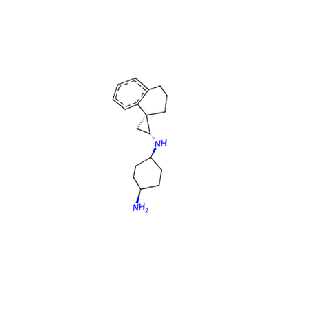 N[C@H]1CC[C@@H](N[C@@H]2C[C@]23CCCc2ccccc23)CC1